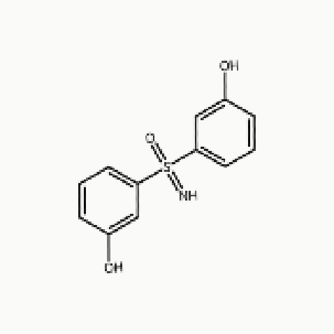 N=S(=O)(c1cccc(O)c1)c1cccc(O)c1